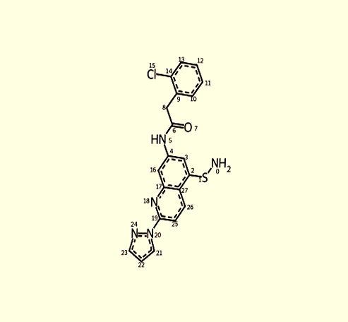 NSc1cc(NC(=O)Cc2ccccc2Cl)cc2nc(-n3cccn3)ccc12